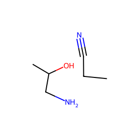 CC(O)CN.CCC#N